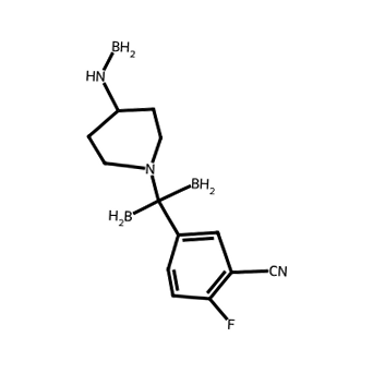 BNC1CCN(C(B)(B)c2ccc(F)c(C#N)c2)CC1